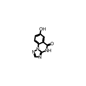 O=c1[nH]c2ncnn2c2ccc(O)cc12